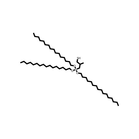 CCCCCCCCCCCCCCCCO[Si](CC(C)CS)(OCCCCCCCCCCCCCCCC)OCCCCCCCCCCCCCCCC